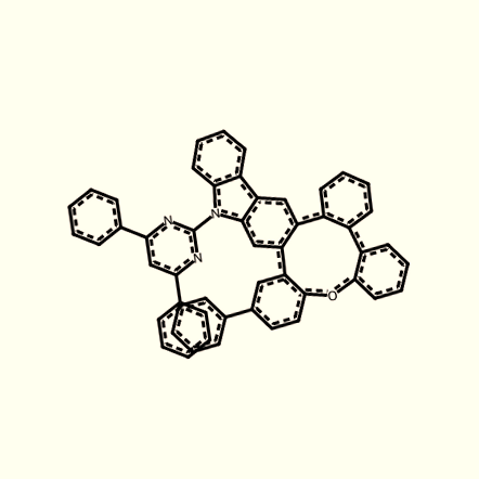 c1ccc(-c2ccc3oc4ccccc4c4ccccc4c4cc5c6ccccc6n(-c6nc(-c7ccccc7)cc(-c7ccccc7)n6)c5cc4c3c2)cc1